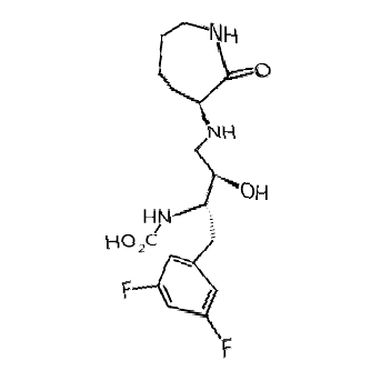 O=C(O)N[C@@H](Cc1cc(F)cc(F)c1)[C@H](O)CN[C@H]1CCCCNC1=O